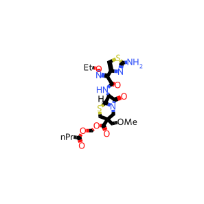 CCCC(=O)OCOC(=O)C1(COC)CS[C@@H]2C(NC(=O)C(=NOCC)c3csc(N)n3)C(=O)N2C1